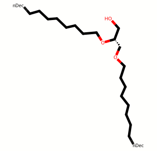 CCCCCCCCCCCCCCCCCCOC[C@@H](CO)OCCCCCCCCCCCCCCCCCC